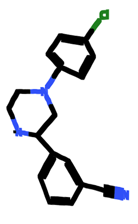 N#Cc1cccc(C2CN(c3ccc(Cl)cc3)CC[N]2)c1